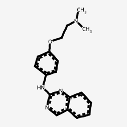 CN(C)CCOc1ccc(Nc2ncc3ccccc3n2)cc1